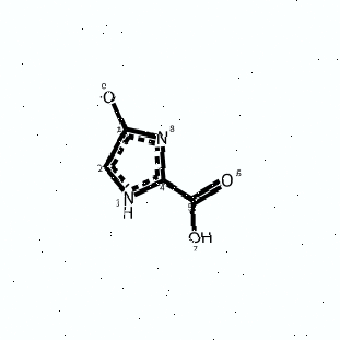 [O]c1c[nH]c(C(=O)O)n1